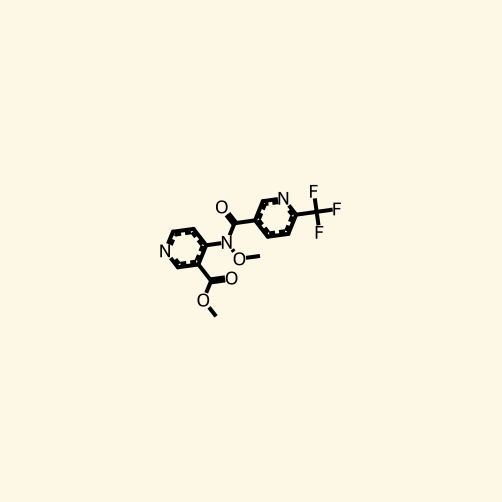 COC(=O)c1cnccc1N(OC)C(=O)c1ccc(C(F)(F)F)nc1